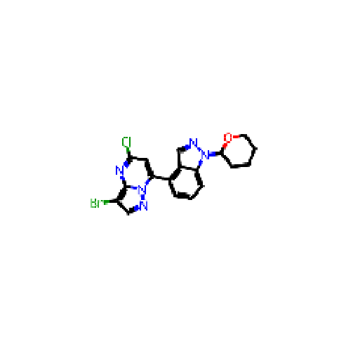 Clc1cc(-c2cccc3c2cnn3C2CCCCO2)n2ncc(Br)c2n1